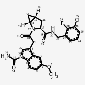 COc1ccc2c(c1)c(CC(=O)N1[C@@H]3C[C@@H]3C[C@H]1C(=O)NCc1cccc(Cl)c1F)cn2C(N)=O